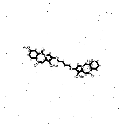 COc1c(OCCCCOc2cn3c(c2OC)C=[N+]([O-])C2=CCC(OC(C)=O)CC2C3=O)cn2c1C=[N+]([O-])C1=CCCC[C@@H]1C2